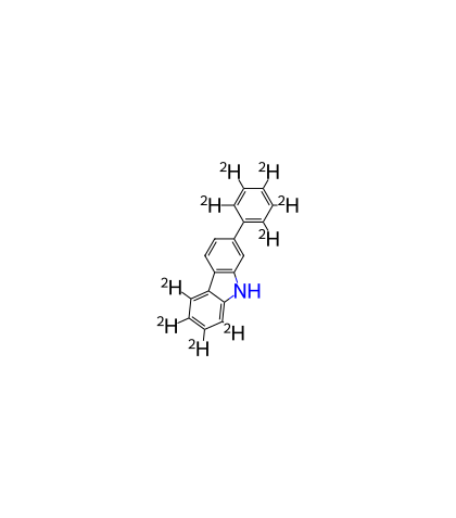 [2H]c1c([2H])c([2H])c(-c2ccc3c(c2)[nH]c2c([2H])c([2H])c([2H])c([2H])c23)c([2H])c1[2H]